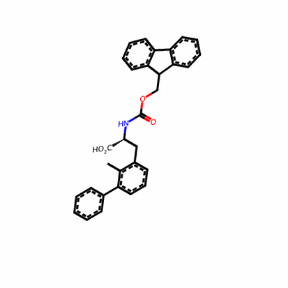 Cc1c(C[C@H](NC(=O)OCC2c3ccccc3-c3ccccc32)C(=O)O)cccc1-c1ccccc1